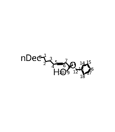 CCCCCCCCCCCCCCC#CCC(CO)OCc1ccccc1